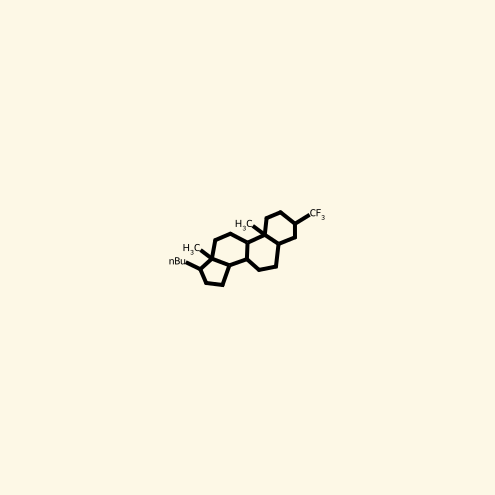 CCCCC1CCC2C3CCC4CC(C(F)(F)F)CCC4(C)C3CCC12C